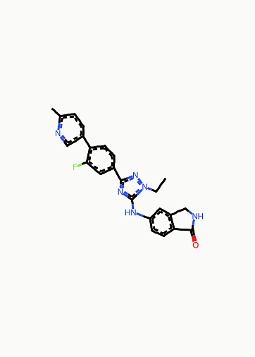 CCn1nc(-c2ccc(-c3ccc(C)nc3)c(F)c2)nc1Nc1ccc2c(c1)CNC2=O